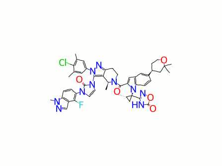 Cc1cc(-n2nc3c(c2-n2ccn(-c4ccc5c(cnn5C)c4F)c2=O)[C@H](C)N(C(=O)c2cc4cc([C@H]5CCOC(C)(C)C5)ccc4n2[C@@]2(c4noc(=O)[nH]4)C[C@@H]2C)CC3)cc(C)c1Cl